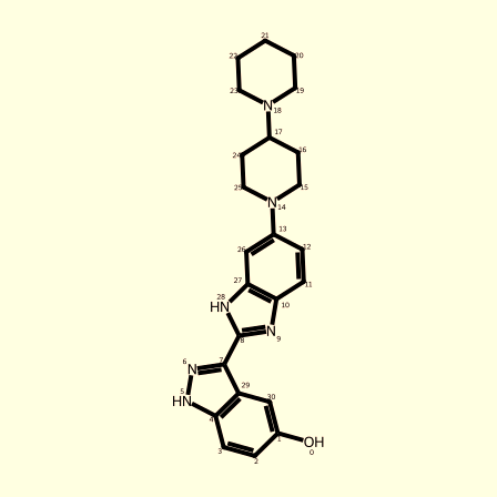 Oc1ccc2[nH]nc(-c3nc4ccc(N5CCC(N6CCCCC6)CC5)cc4[nH]3)c2c1